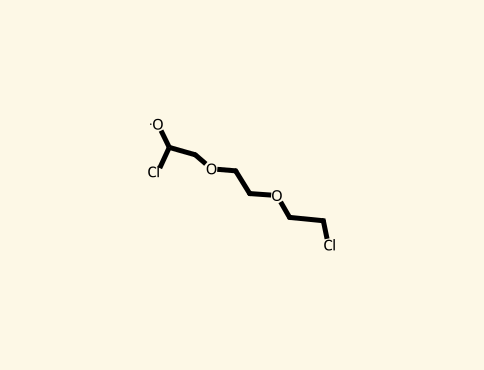 [O]C(Cl)COCCOCCCl